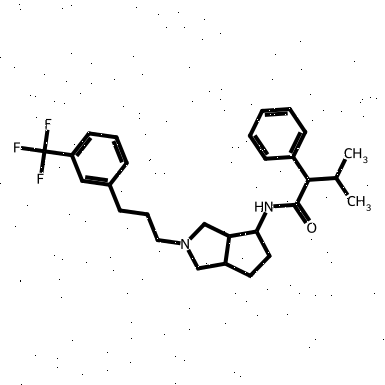 CC(C)C(C(=O)NC1CCC2CN(CCCc3cccc(C(F)(F)F)c3)CC21)c1ccccc1